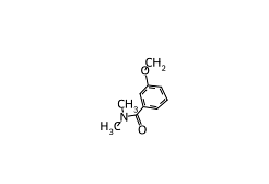 [CH2]Oc1cccc(C(=O)N(C)C)c1